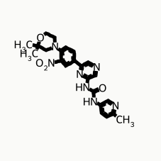 Cc1ccc(NC(=O)Nc2cncc(-c3ccc(N4CCOC(C)(C)C4)c([N+](=O)[O-])c3)n2)cn1